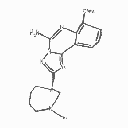 CCN1CCC[C@@H](c2nc3c4cccc(OC)c4nc(N)n3n2)C1